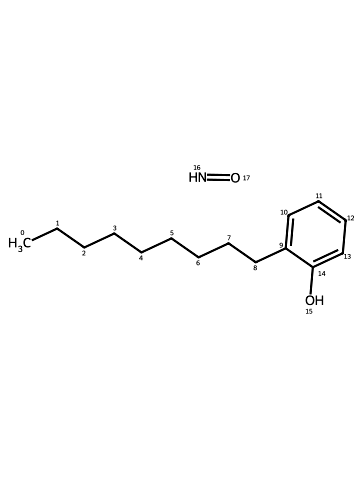 CCCCCCCCCc1ccccc1O.N=O